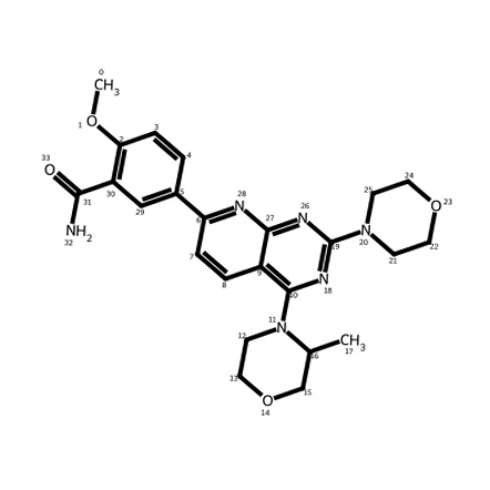 COc1ccc(-c2ccc3c(N4CCOCC4C)nc(N4CCOCC4)nc3n2)cc1C(N)=O